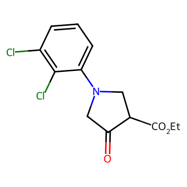 CCOC(=O)C1CN(c2cccc(Cl)c2Cl)CC1=O